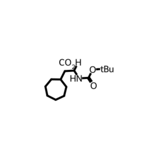 CC(C)(C)OC(=O)NC(CC1CCCCCC1)C(=O)O